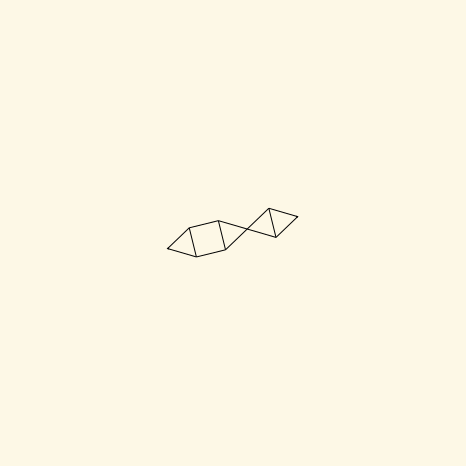 C1C2C1C1C2C12C1CC12